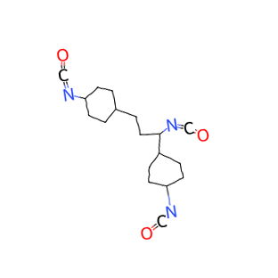 O=C=NC1CCC(CCC(N=C=O)C2CCC(N=C=O)CC2)CC1